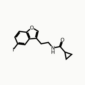 O=C(NCCc1coc2ccc(I)cc12)C1CC1